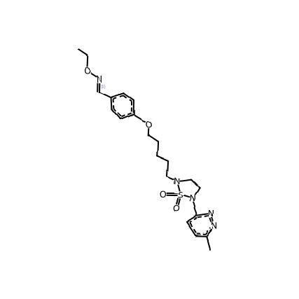 CCO/N=C/c1ccc(OCCCCCN2CCN(c3ccc(C)nn3)S2(=O)=O)cc1